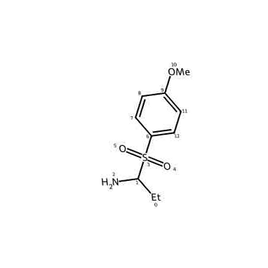 [CH2]CC(N)S(=O)(=O)c1ccc(OC)cc1